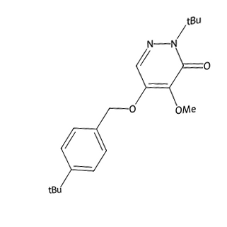 COc1c(OCc2ccc(C(C)(C)C)cc2)cnn(C(C)(C)C)c1=O